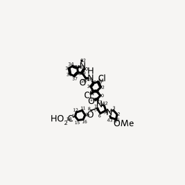 CO[C@@H]1CCN([C@H]2C[C@@H](CO[C@H]3CC[C@H](C(=O)O)CC3)N(C(=O)Cc3cc(Cl)c(NC(=O)c4cn(C)c5ccccc45)cc3Cl)C2)C1